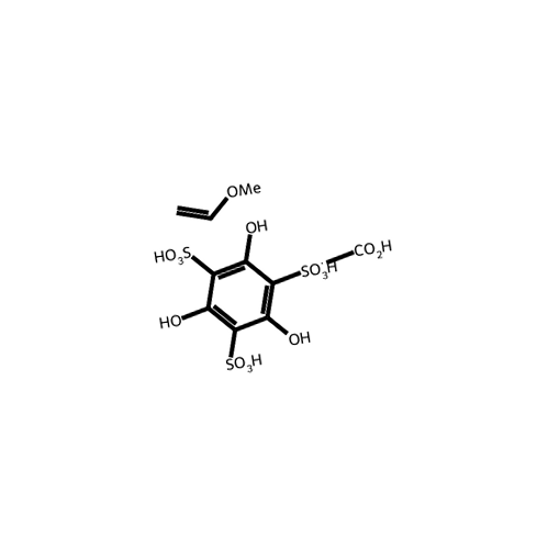 C=COC.O=S(=O)(O)c1c(O)c(S(=O)(=O)O)c(O)c(S(=O)(=O)O)c1O.[CH2]C(=O)O